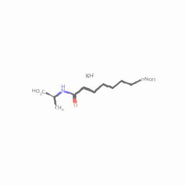 CCCCCCCCCCCCCCCC(=O)N[C@@H](C)C(=O)O.[KH]